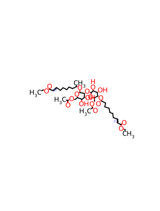 CCOC(=O)/C=C/CCCCCCC(=O)OC1C(COC(C)=O)OC(OC2C(OC(C)CCCCC/C=C/C(=O)OCC)OC(COC(C)=O)C(O)C2O)C(O)C1O